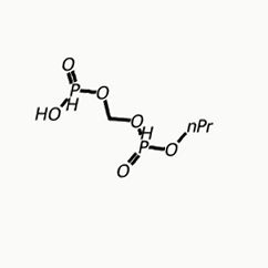 CCCO[PH](=O)OCO[PH](=O)O